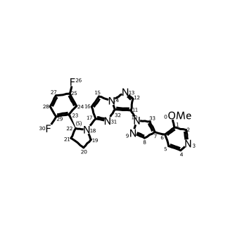 COc1cnccc1-c1cnn(-c2cnn3ccc(N4CCC[C@H]4c4cc(F)ccc4F)nc23)c1